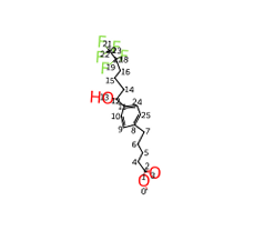 COC(=O)CCCCc1ccc(C(O)CCCC(F)(F)C(F)(F)F)cc1